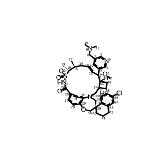 CO[C@@]1(c2cncc(CN(C)C)c2)/C=C/C[C@H](C)[C@@H](C)S(=O)(=O)NC(=O)c2ccc3c(c2)N(C[C@@H]2CC[C@H]21)C[C@@]1(CCCc2cc(Cl)ccc21)CO3